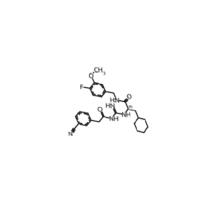 COc1cc(CNC(=O)[C@@H](CC2CCCCC2)NC(=N)NC(=O)Cc2cccc(C#N)c2)ccc1F